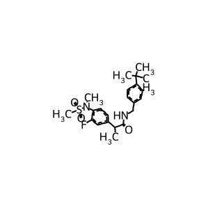 CC(C(=O)NCc1ccc(C(C)(C)C)cc1)c1ccc(N(C)S(C)(=O)=O)c(F)c1